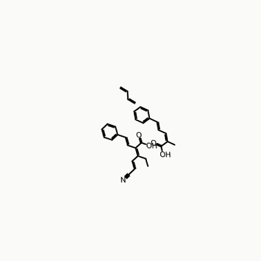 C=CC=C.CC(=CC=Cc1ccccc1)C(=O)O.CCC(C=CC#N)=C(C=Cc1ccccc1)C(=O)O